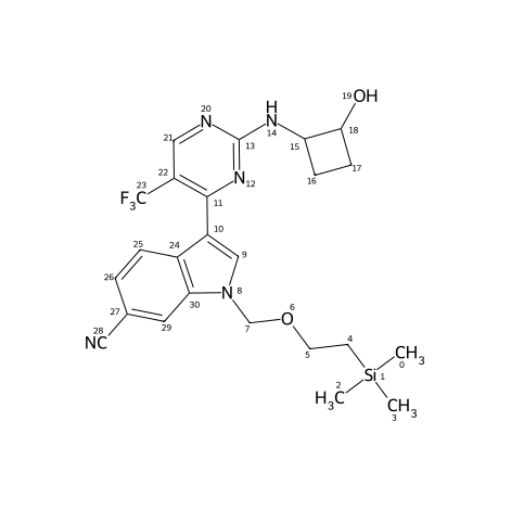 C[Si](C)(C)CCOCn1cc(-c2nc(NC3CCC3O)ncc2C(F)(F)F)c2ccc(C#N)cc21